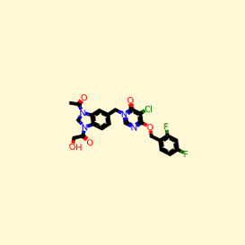 CC(=O)N1CN(C(=O)CO)c2ccc(Cn3cnc(OCc4ccc(F)cc4F)c(Cl)c3=O)cc21